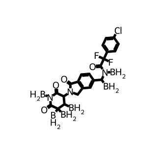 BC(c1ccc2c(c1)CN(C1C(=O)N(B)C(=O)C(B)(B)C1B)C2=O)N(B)C(=O)C(F)(F)c1ccc(Cl)cc1